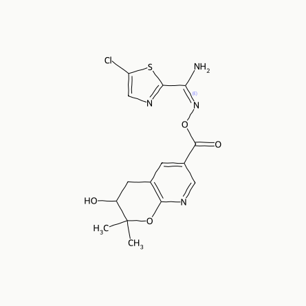 CC1(C)Oc2ncc(C(=O)O/N=C(/N)c3ncc(Cl)s3)cc2CC1O